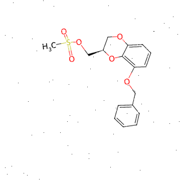 CS(=O)(=O)OC[C@H]1COc2cccc(OCc3ccccc3)c2O1